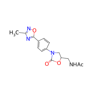 CC(=O)NCC1CN(c2ccc(-c3nc(C)no3)cc2)C(=O)O1